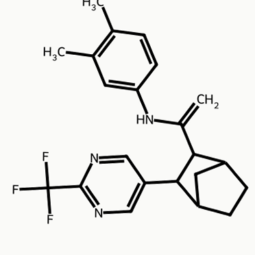 C=C(Nc1ccc(C)c(C)c1)C1C2CCC(C2)C1c1cnc(C(F)(F)F)nc1